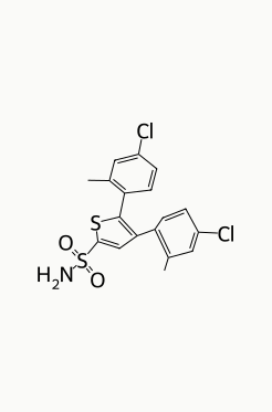 Cc1cc(Cl)ccc1-c1cc(S(N)(=O)=O)sc1-c1ccc(Cl)cc1C